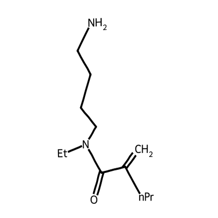 C=C(CCC)C(=O)N(CC)CCCCN